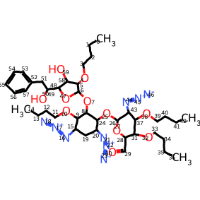 CCCCOC1C(OC2C(OCCCC)C(N=[N+]=[N-])CC(N=[N+]=[N-])C2OC2OC(C=O)C(OCCCC)C(OCCCC)C2N=[N+]=[N-])OC(C(O)Cc2ccccc2)C1O